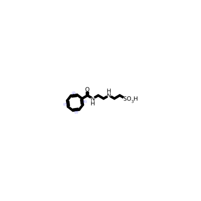 O=C(NCCNCCS(=O)(=O)O)C1=C/C=C\C=C/C=C\1